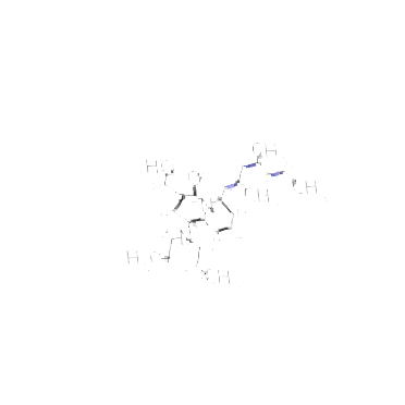 C/C=C/C(C)=C\C(C)=C\c1cccc2c(N(CCC)CCC)cc(CO)c(=O)n12